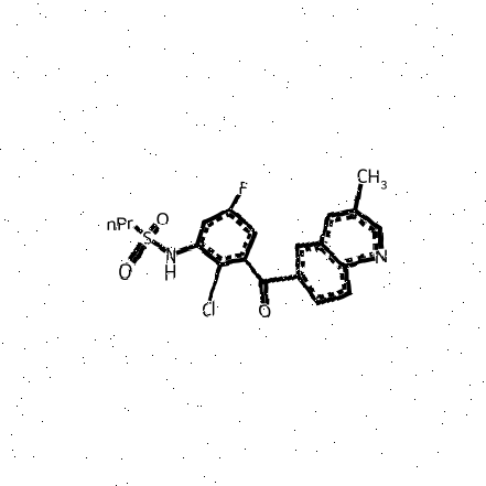 CCCS(=O)(=O)Nc1cc(F)cc(C(=O)c2ccc3ncc(C)cc3c2)c1Cl